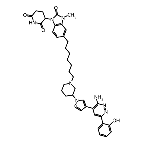 Cn1c(=O)n(C2CCC(=O)NC2=O)c2ccc(CCCCCCCN3CCCC(n4cc(-c5cc(-c6ccccc6O)nnc5N)cn4)C3)cc21